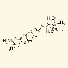 CC(C)N(CCCCOc1ccc(Oc2ccc(N)c(N)c2)cc1)C(C)C